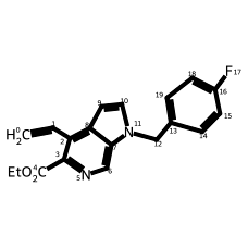 C=Cc1c(C(=O)OCC)ncc2c1ccn2Cc1ccc(F)cc1